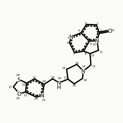 O=c1ccc2nccc3c2n1CC3CN1CCC(NCc2cc3c(cn2)OCS3)CC1